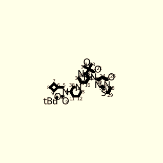 CC(C)(C)OC(=O)N(CC1CCC1)[C@@H]1CCCN(c2ccc(C3(C(=O)Nc4cc(=O)n5ccsc5n4)COC3)nc2)C1